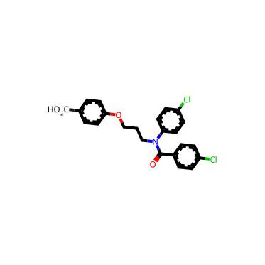 O=C(O)c1ccc(OCCCN(C(=O)c2ccc(Cl)cc2)c2ccc(Cl)cc2)cc1